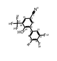 N#Cc1cc(-c2cc(F)c(F)c(F)c2)c(O)c(C(F)(F)F)c1